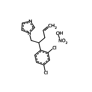 C=CCC(Cn1ccnc1)c1ccc(Cl)cc1Cl.O=[N+]([O-])O